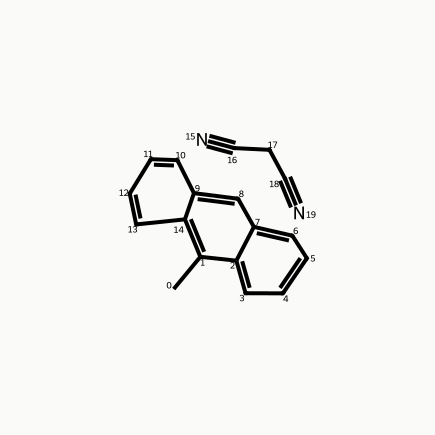 Cc1c2ccccc2cc2ccccc12.N#CCC#N